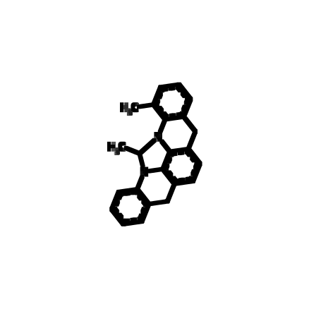 Cc1cccc2c1N1c3c(ccc4c3N(c3ccccc3C4)C1C)C2